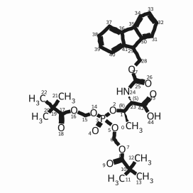 C[C@@H](OP(=O)(OCOC(=O)C(C)(C)C)OCOC(=O)C(C)(C)C)[C@H](NC(=O)OCC1c2ccccc2-c2ccccc21)C(=O)O